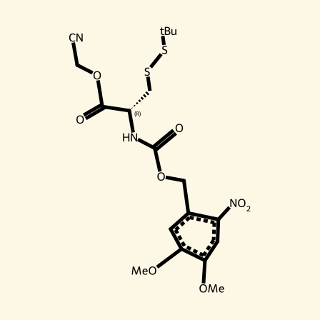 COc1cc(COC(=O)N[C@@H](CSSC(C)(C)C)C(=O)OCC#N)c([N+](=O)[O-])cc1OC